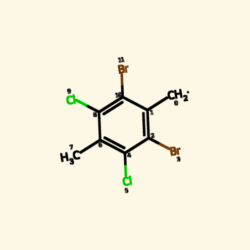 [CH2]c1c(Br)c(Cl)c(C)c(Cl)c1Br